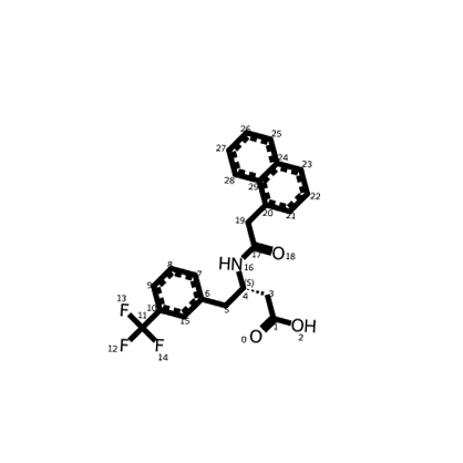 O=C(O)C[C@H](Cc1cccc(C(F)(F)F)c1)NC(=O)Cc1cccc2ccccc12